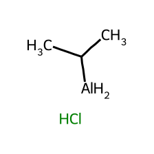 C[CH](C)[AlH2].Cl